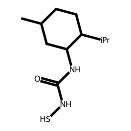 CC1CCC(C(C)C)C(NC(=O)NS)C1